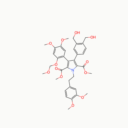 COCOc1cc(OC)c(OC)cc1-c1c(-c2ccc(CO)c(CO)c2)c(C(=O)OC)n(CCc2ccc(OC)c(OC)c2)c1C(=O)OC